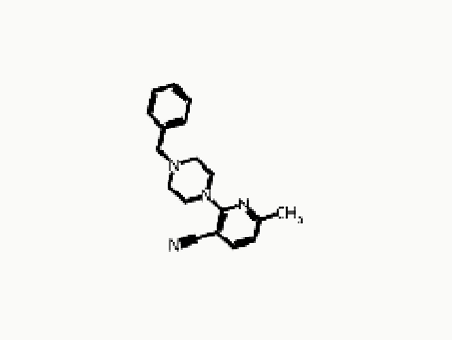 Cc1ccc(C#N)c(N2CCN(Cc3ccccc3)CC2)n1